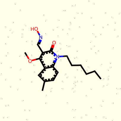 CCCCCCn1c(=O)c(C=NO)c(OC)c2cc(C)ccc21